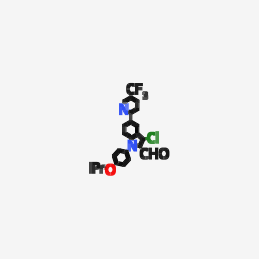 CC(C)Oc1ccc(-n2c(C=O)c(Cl)c3cc(-c4ccc(C(F)(F)F)cn4)ccc32)cc1